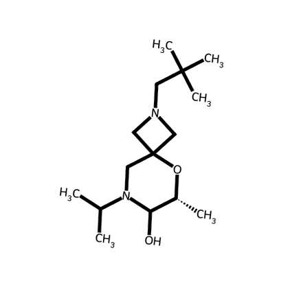 CC(C)N1CC2(CN(CC(C)(C)C)C2)O[C@H](C)C1O